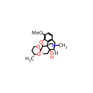 COc1ccc2c3c1OC1[C@]4(CCC5(O)[C@@H](C2)N(C)CC[C@]315)OCC[C@@H](C)O4